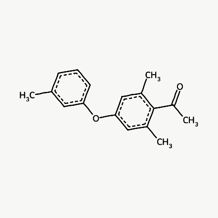 CC(=O)c1c(C)cc(Oc2cccc(C)c2)cc1C